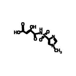 Cn1cnc(S(=O)(=O)NC(=O)C(O)=CC(=O)O)c1